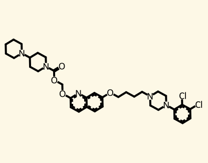 O=C(OCOc1ccc2ccc(OCCCCN3CCN(c4cccc(Cl)c4Cl)CC3)cc2n1)N1CCC(N2CCCCC2)CC1